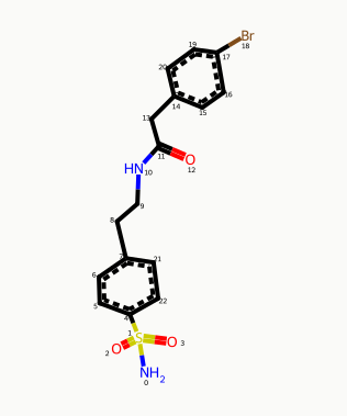 NS(=O)(=O)c1ccc(CCNC(=O)Cc2ccc(Br)cc2)cc1